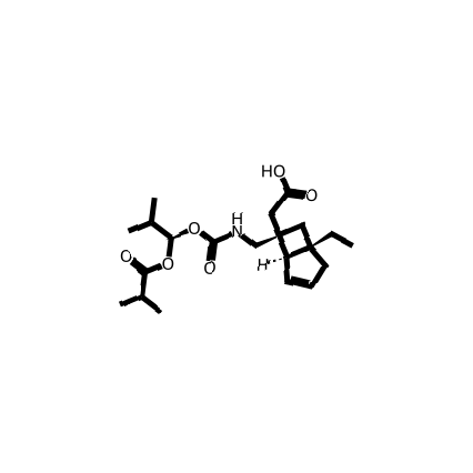 CC[C@@]12CC=C[C@H]1[C@](CNC(=O)O[C@@H](OC(=O)C(C)C)C(C)C)(CC(=O)O)C2